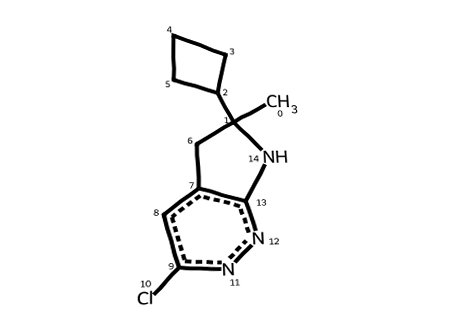 CC1(C2CCC2)Cc2cc(Cl)nnc2N1